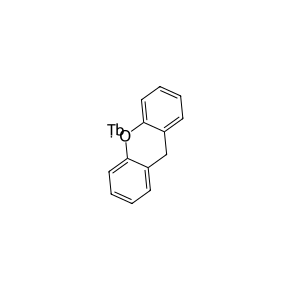 [Tb].c1ccc2c(c1)Cc1ccccc1O2